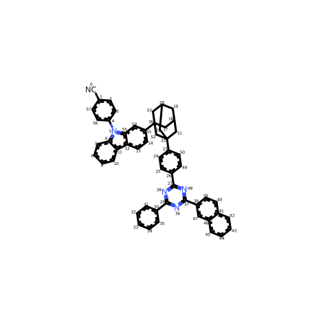 N#Cc1ccc(-n2c3ccccc3c3ccc(C45CC6CC(CC(c7ccc(-c8nc(-c9ccccc9)nc(-c9ccc%10ccccc%10c9)n8)cc7)(C6)C4)C5)cc32)cc1